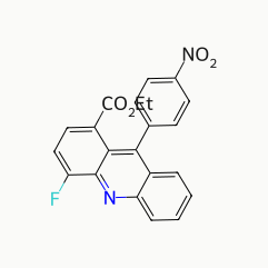 CCOC(=O)c1ccc(F)c2nc3ccccc3c(-c3ccc([N+](=O)[O-])cc3)c12